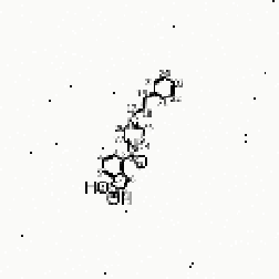 O=C(c1cccc2c1C=CS2(O)O)N1CCN(CC=Cc2ccccc2)CC1